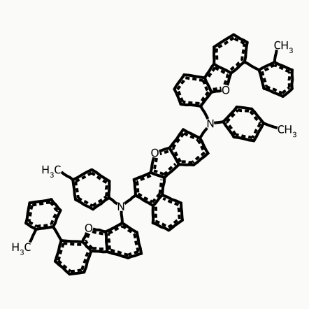 Cc1ccc(N(c2ccc3c(c2)oc2cc(N(c4ccc(C)cc4)c4cccc5c4oc4c(-c6ccccc6C)cccc45)c4ccccc4c23)c2cccc3c2oc2c(-c4ccccc4C)cccc23)cc1